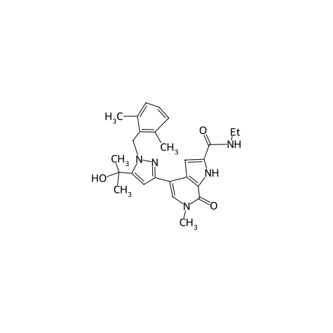 CCNC(=O)c1cc2c(-c3cc(C(C)(C)O)n(Cc4c(C)cccc4C)n3)cn(C)c(=O)c2[nH]1